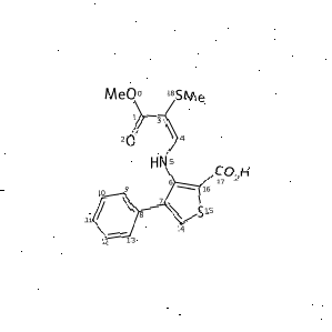 COC(=O)C(=CNc1c(-c2ccccc2)csc1C(=O)O)SC